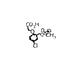 CS(=O)(=O)OCc1cc(Cl)ccc1OCC(=O)O